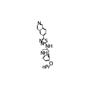 CCCOc1cccc(CC(CN)Nc2nnc(-c3ccc4cnccc4c3)s2)c1